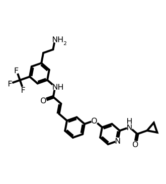 NCCc1cc(NC(=O)C=Cc2cccc(Oc3ccnc(NC(=O)C4CC4)c3)c2)cc(C(F)(F)F)c1